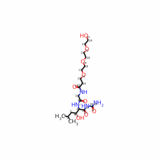 CC(C)C[C@@H](O)C(NC(=O)CNC(=O)CCOCCOCCOCCO)C(=O)NC(N)=O